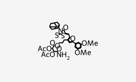 COc1cc(OC)cc(-c2cc(CCCOC(=O)[C@H](OC(C)=O)[C@@H](OC(C)=O)C(N)=O)c(/C=C3\SC(=S)N(C4C5CC6CC(C5)CC4C6)C3=O)o2)c1